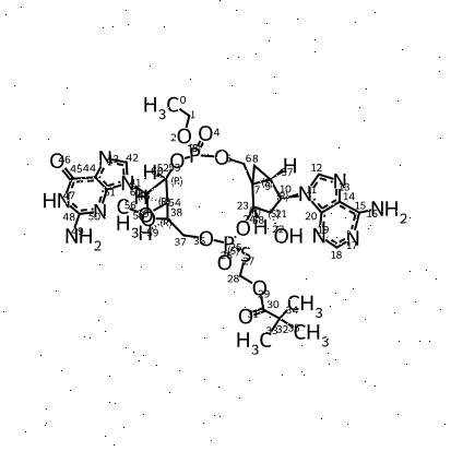 CCO[P@@]1(=O)OCC23C[C@@H]2[C@@H](n2cnc4c(N)ncnc42)[C@H](O)[C@@H]3O[P@@](=O)(SCOC(=O)C(C)(C)C)OC[C@H]2O[C@@H](n3cnc4c(=O)[nH]c(N)nc43)[C@H](O1)[C@@H]2OC